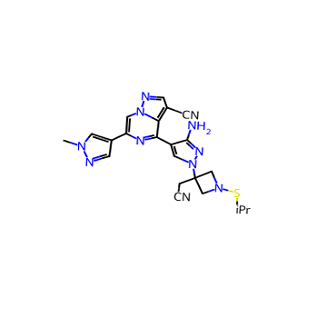 CC(C)SN1CC(CC#N)(n2cc(-c3nc(-c4cnn(C)c4)cn4ncc(C#N)c34)c(N)n2)C1